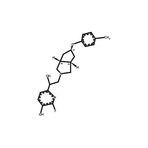 Cc1ccc(O[C@H]2C[C@@H]3CN(CC(O)c4ccc(O)c(F)n4)C[C@@H]3C2)cc1